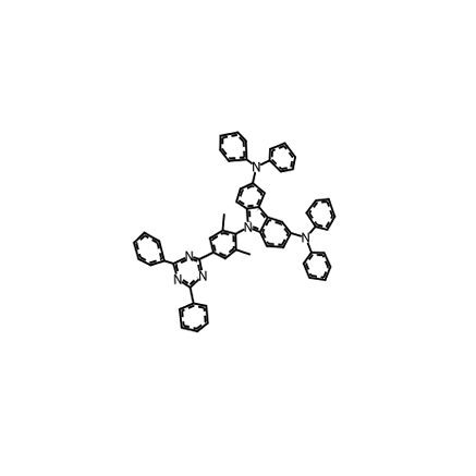 Cc1cc(-c2nc(-c3ccccc3)nc(-c3ccccc3)n2)cc(C)c1-n1c2ccc(N(c3ccccc3)c3ccccc3)cc2c2cc(N(c3ccccc3)c3ccccc3)ccc21